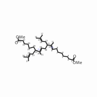 COC(=O)CCCCCC/C=C(\C)C(CC=C(C)C)C/C=C(\C)C(CC=C(C)C)CCCCCC(=O)OC